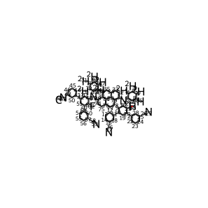 [2H]c1c([2H])c([2H])c(N(c2cc(-c3cccc(C#N)c3)cc(-c3cccc(C#N)c3)c2F)c2ccc3ccc4c(N(c5cc(-c6cccc([N+]#[C-])c6)cc(-c6cccc(C#N)c6)c5F)c5c([2H])c([2H])c([2H])c([2H])c5[2H])ccc5ccc2c3c54)c([2H])c1[2H]